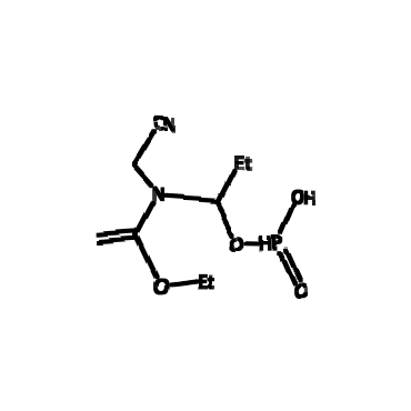 C=C(OCC)N(CC#N)C(CC)O[PH](=O)O